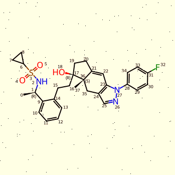 C[C@@H](NS(=O)(=O)C1CC1)c1ccccc1CC[C@]1(O)CCC2=Cc3c(cnn3-c3ccc(F)cc3)C[C@@]21C